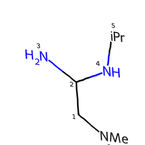 CNCC(N)NC(C)C